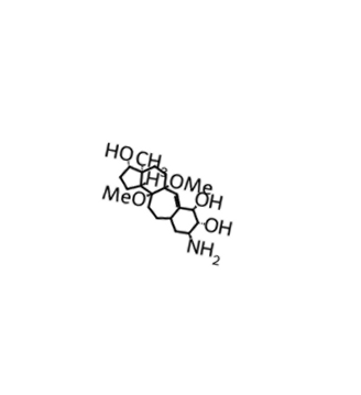 CO[C@@]12C=C3C(CC[C@]1(OC)[C@@H]1CC[C@H](O)[C@@]1(C)CC2)C[C@H](N)[C@@H](O)[C@@H]3O